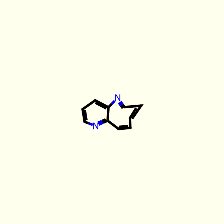 C1=C\c2ncccc2/N=C/C=C/1